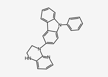 c1ccc(-n2c3ccccc3c3cc(N4CCNc5cccnc54)ccc32)cc1